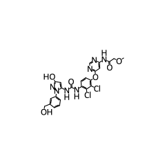 COCC(=O)Nc1cc(Oc2ccc(NC(=O)Nc3cc(O)nn3-c3cccc(CO)c3)c(Cl)c2Cl)ncn1